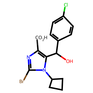 O=C(O)c1nc(Br)n(C2CCC2)c1C(O)c1ccc(Cl)cc1